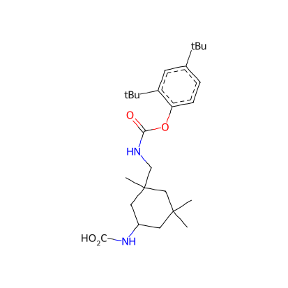 CC1(C)CC(NC(=O)O)CC(C)(CNC(=O)Oc2ccc(C(C)(C)C)cc2C(C)(C)C)C1